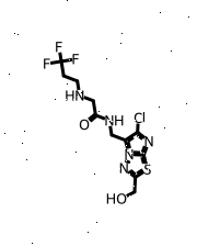 O=C(CNCCC(F)(F)F)NCc1c(Cl)nc2sc(CO)nn12